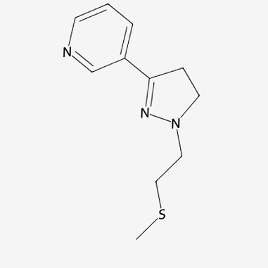 CSCCN1CCC(c2cccnc2)=N1